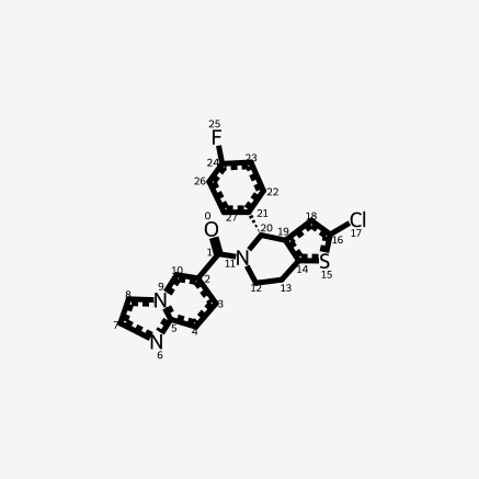 O=C(c1ccc2nccn2c1)N1CCc2sc(Cl)cc2[C@H]1c1ccc(F)cc1